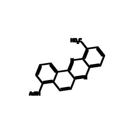 CC(=O)Nc1cccc2c1ccc1nc3cccc(C(=O)O)c3nc12